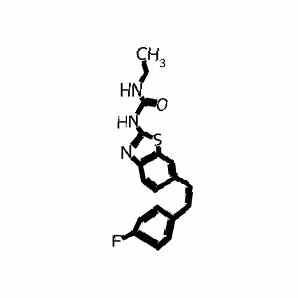 CCNC(=O)Nc1nc2ccc(/C=C\c3ccc(F)cc3)cc2s1